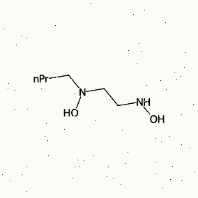 CCCCN(O)CCNO